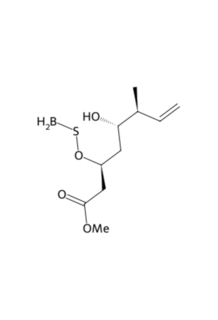 BSO[C@H](CC(=O)OC)C[C@H](O)[C@@H](C)C=C